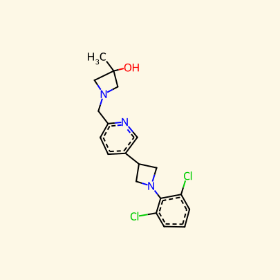 CC1(O)CN(Cc2ccc(C3CN(c4c(Cl)cccc4Cl)C3)cn2)C1